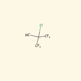 N#CC(Cl)(C(F)(F)F)C(F)(F)F